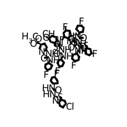 COC(=O)c1ccc(NC(=O)Nc2ccc(F)cc2)nc1.COc1ccc2nc(NC(=O)Nc3ccc(F)cc3)sc2c1.O=C(Nc1ccc(F)cc1)Nc1nc2c(F)cc(F)cc2s1.O=C(Nc1ccc(F)cc1)Nc1nc2ccc(Cl)cc2s1.O=C(Nc1ccc(F)cc1)Nc1nc2ccc(F)cc2s1